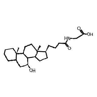 C[C@]12CCCCC1C[C@H](O)C1C2CC[C@@]2(C)C1CC[C@@H]2CCCC(=O)NCC(=O)O